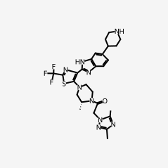 Cc1nc(C)n(CC(=O)N2CCN(c3sc(C(F)(F)F)nc3-c3nc4ccc(C5CCNCC5)cc4[nH]3)C[C@H]2C)n1